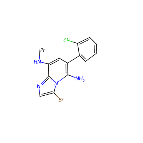 CC(C)Nc1cc(-c2ccccc2Cl)c(N)n2c(Br)cnc12